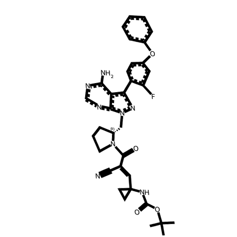 CC(C)(C)OC(=O)NC1(C=C(C#N)C(=O)N2CCC[C@@H]2Cn2nc(-c3ccc(Oc4ccccc4)cc3F)c3c(N)ncnc32)CC1